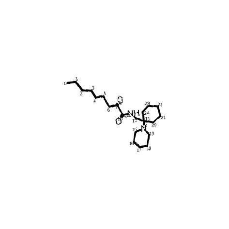 CCCCCCCC(=O)C(=O)NCC1(N2CCCCC2)CCCCC1